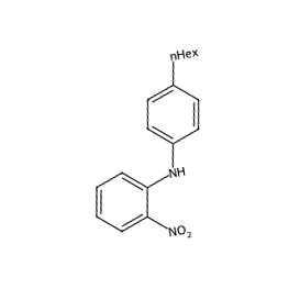 CCCCCCc1ccc(Nc2ccccc2[N+](=O)[O-])cc1